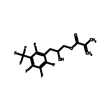 C=C(C)C(=O)OCC(O)Cc1c(F)c(F)c(F)c(C(F)(F)F)c1F